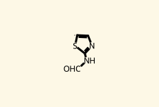 O=CNc1nc[c]s1